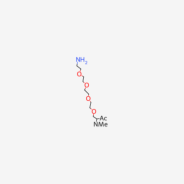 CNC(COCCOCCOCCOCCN)C(C)=O